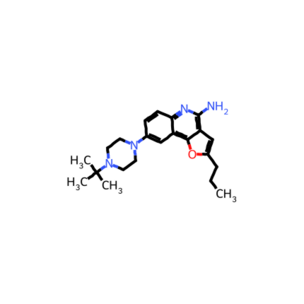 CCCc1cc2c(N)nc3ccc(N4CCN(C(C)(C)C)CC4)cc3c2o1